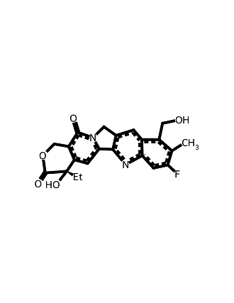 CC[C@@]1(O)C(=O)OCc2c1cc1n(c2=O)Cc2cc3c(CO)c(C)c(F)cc3nc2-1